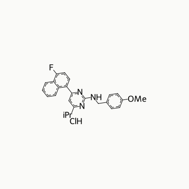 COc1ccc(CNc2nc(-c3ccc(F)c4ccccc34)cc(C(C)C)n2)cc1.Cl